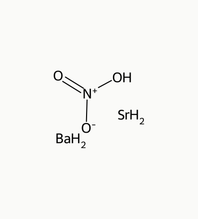 O=[N+]([O-])O.[BaH2].[SrH2]